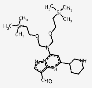 C[Si](C)(C)CCOCN(COCC[Si](C)(C)C)c1cc(C2CCCNC2)nc2c(C=O)cnn12